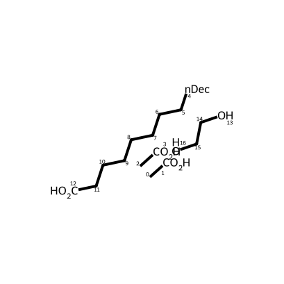 CC(=O)O.CC(=O)O.CCCCCCCCCCCCCCCCCC(=O)O.OCCO